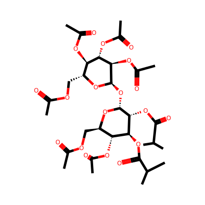 CC(=O)OC[C@H]1O[C@H](O[C@H]2O[C@H](COC(C)=O)[C@@H](OC(C)=O)[C@H](OC(=O)C(C)C)[C@H]2OC(=O)C(C)C)[C@H](OC(C)=O)[C@@H](OC(C)=O)[C@@H]1OC(C)=O